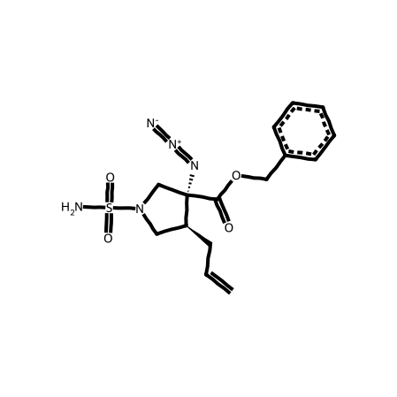 C=CC[C@H]1CN(S(N)(=O)=O)C[C@@]1(N=[N+]=[N-])C(=O)OCc1ccccc1